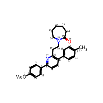 COc1ccc(-c2ccc(-c3ccc(C)cc3)c(CCN3CCCCCC3=O)n2)cc1